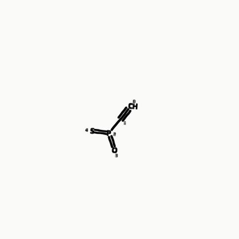 C#CP(=O)=S